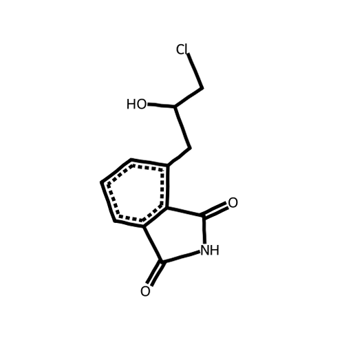 O=C1NC(=O)c2c(CC(O)CCl)cccc21